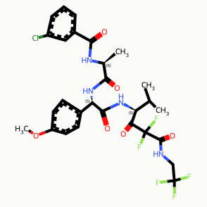 COc1ccc([C@H](NC(=O)[C@H](C)NC(=O)c2cccc(Cl)c2)C(=O)N[C@H](C(=O)C(F)(F)C(=O)NCC(F)(F)F)C(C)C)cc1